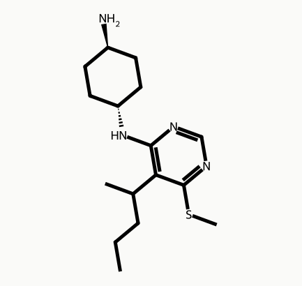 CCCC(C)c1c(N[C@H]2CC[C@H](N)CC2)ncnc1SC